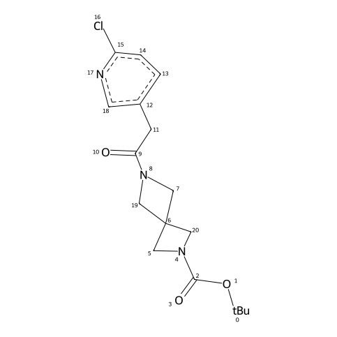 CC(C)(C)OC(=O)N1CC2(CN(C(=O)Cc3ccc(Cl)nc3)C2)C1